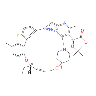 CC[C@H]1C=CCOC2(C)CCN(CC2)c2c([C@H](OC(C)(C)C)C(=O)O)c(C)nc3cc(nn23)-c2cccc(c2)-c2c(ccc(C)c2F)O1